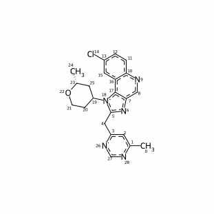 Cc1cc(Cc2nc3cnc4ccc(Cl)cc4c3n2C2CCO[C@H](C)C2)ncn1